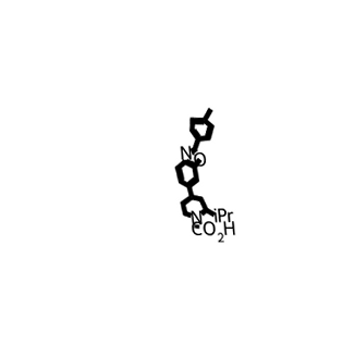 Cc1ccc(-c2nc3ccc(C4CCN(C(=O)O)C(C(C)C)C4)cc3o2)cc1